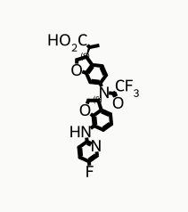 CC(C(=O)O)[C@@H]1COc2cc(N(C(=O)C(F)(F)F)[C@@H]3COc4c(Nc5ccc(F)cn5)cccc43)ccc21